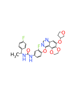 CC(NC(=O)Nc1ccc(Oc2ncnc3cc(OC4CCOC4)c4c(c23)OCCO4)c(F)c1)c1ccc(F)cc1